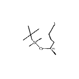 C[C@H](CCI)O[Si](C)(C)C(C)(C)C